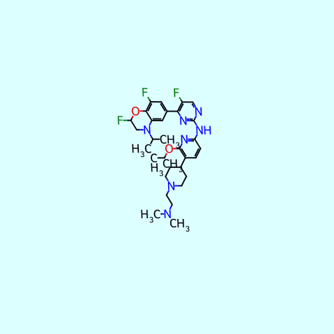 CC(C)Oc1nc(Nc2ncc(F)c(-c3cc(F)c4c(c3)N(C(C)C)CC(F)O4)n2)ccc1C1CCN(CCN(C)C)CC1